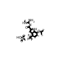 CNC(N)=NC(=O)c1cc2c(C(F)(F)F)ccc(OC(C)C)c2[nH]1.CS(=O)(=O)O